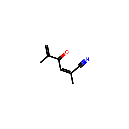 C=C(C)C(=O)C=C(C)C#N